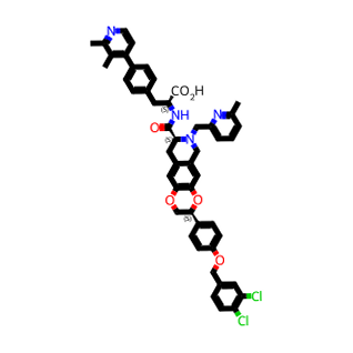 Cc1cccc(CN2Cc3cc4c(cc3C[C@H]2C(=O)N[C@@H](Cc2ccc(-c3ccnc(C)c3C)cc2)C(=O)O)OC[C@H](c2ccc(OCc3ccc(Cl)c(Cl)c3)cc2)O4)n1